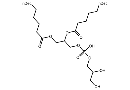 CCCCCCCCCCCCCCC(=O)OCC(COP(=O)(O)OCC(O)CO)OC(=O)CCCCCCCCCCCCCC